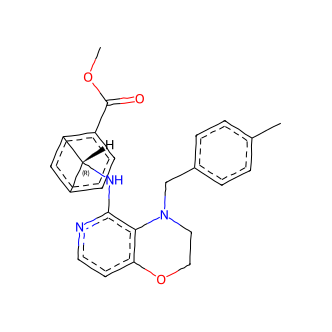 COC(=O)c1ccc2cc1[C@@H]2Nc1nccc2c1N(Cc1ccc(C)cc1)CCO2